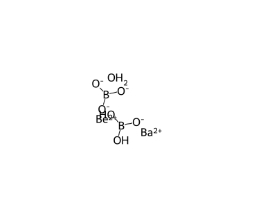 O.[Ba+2].[Be+2].[O-]B(O)O.[O-]B([O-])[O-]